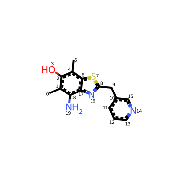 Cc1c(O)c(C)c2sc(Cc3cccnc3)nc2c1N